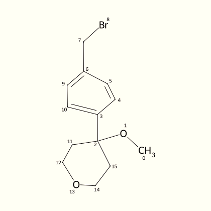 COC1(c2ccc(CBr)cc2)CCOCC1